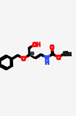 CC(C)(C)OC(=O)NCC[C@@H](CO)OCc1ccccc1